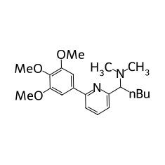 CCCCC(c1cccc(-c2cc(OC)c(OC)c(OC)c2)n1)N(C)C